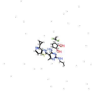 CCCNc1nc(C)c(-c2nc3c(C4CC4)nccc3s2)c(N[C@@H]2C[C@H](C(C)(F)F)[C@@H](O)[C@H]2O)n1